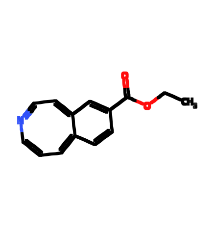 CCOC(=O)c1ccc2c(c1)=CC=NC=CC=2